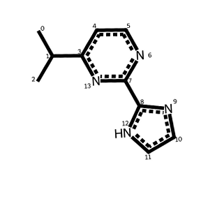 CC(C)c1ccnc(-c2ncc[nH]2)n1